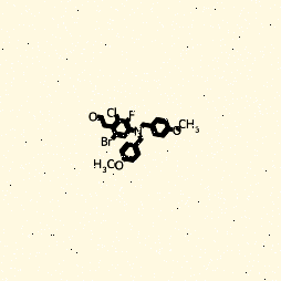 COc1ccc(CN(Cc2ccc(OC)cc2)c2cc(Br)c(CC=O)c(Cl)c2F)cc1